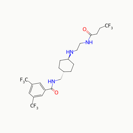 O=C(CCC(F)(F)F)NCCN[C@H]1CC[C@H](CNC(=O)c2cc(C(F)(F)F)cc(C(F)(F)F)c2)CC1